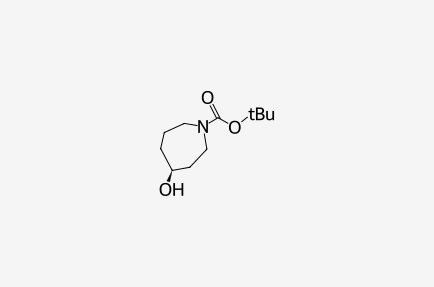 CC(C)(C)OC(=O)N1CCC[C@H](O)CC1